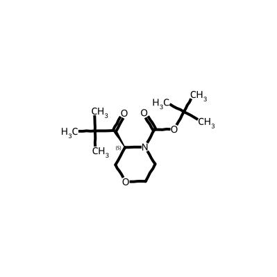 CC(C)(C)OC(=O)N1CCOC[C@H]1C(=O)C(C)(C)C